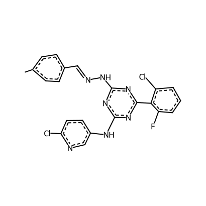 Cc1ccc(/C=N/Nc2nc(Nc3ccc(Cl)nc3)nc(-c3c(F)cccc3Cl)n2)cc1